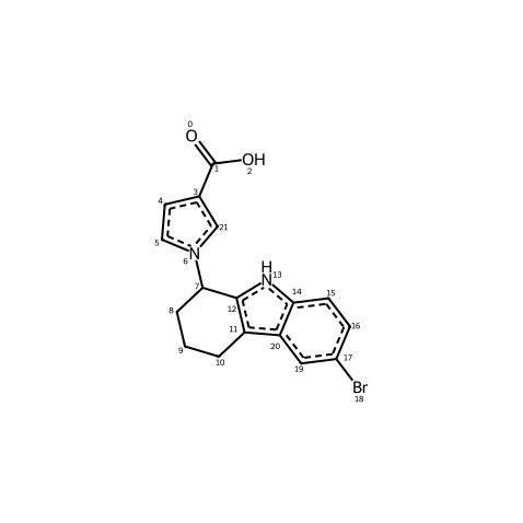 O=C(O)c1ccn(C2CCCc3c2[nH]c2ccc(Br)cc32)c1